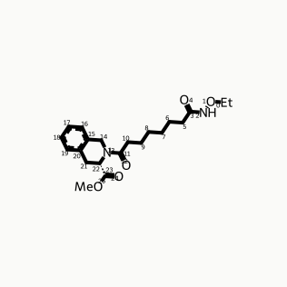 CCONC(=O)CCCCCCC(=O)N1Cc2ccccc2C[C@H]1C(=O)OC